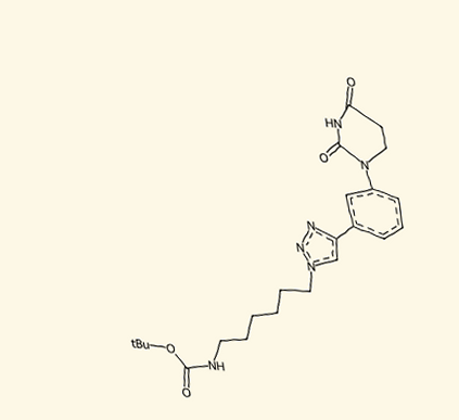 CC(C)(C)OC(=O)NCCCCCCn1cc(-c2cccc(N3CCC(=O)NC3=O)c2)nn1